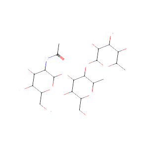 CC(=O)NC1C(OC2C(O)C(CO)OC(C)C2OC2OC(C)C(O)C(O)C2O)OC(CO)C(O)C1O